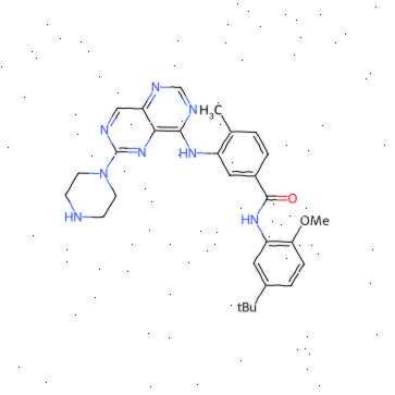 COc1ccc(C(C)(C)C)cc1NC(=O)c1ccc(C)c(Nc2ncnc3cnc(N4CCNCC4)nc23)c1